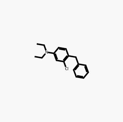 CCN(CC)c1ccc(Cc2ccccc2)c(Cl)c1